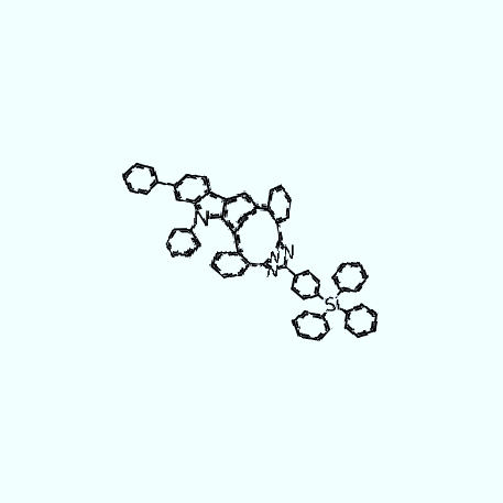 c1ccc(-c2ccc3c4cc5cc(c6ccccc6c6nc(-c7ccc([Si](c8ccccc8)(c8ccccc8)c8ccccc8)cc7)nc(n6)c6ccccc56)c4n(-c4ccccc4)c3c2)cc1